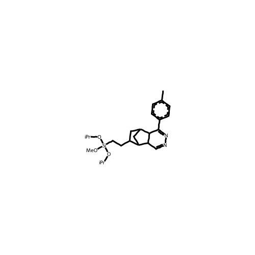 CO[Si](CCC1CC2CC1C1C=NN=C(c3ccc(C)cc3)C21)(OC(C)C)OC(C)C